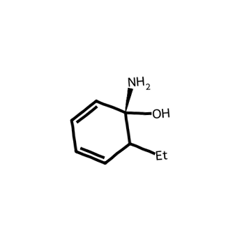 CCC1C=CC=C[C@]1(N)O